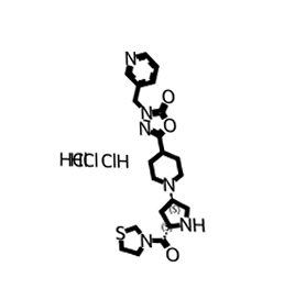 Cl.Cl.Cl.O=C([C@@H]1C[C@H](N2CCC(c3nn(Cc4cccnc4)c(=O)o3)CC2)CN1)N1CCSC1